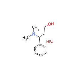 Br.CN(C)C(CCO)c1ccccc1